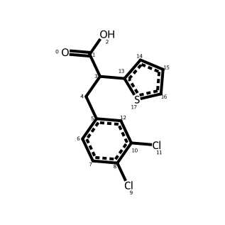 O=C(O)C(Cc1ccc(Cl)c(Cl)c1)c1cccs1